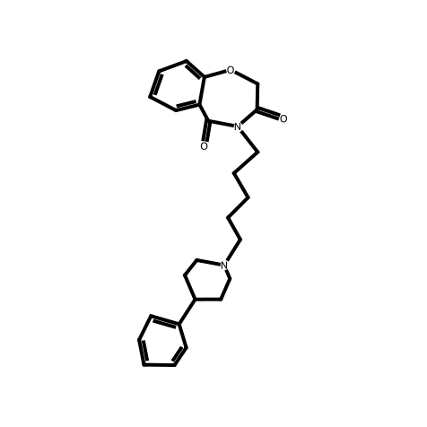 O=C1COc2ccccc2C(=O)N1CCCCCN1CCC(c2ccccc2)CC1